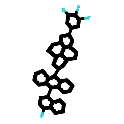 Fc1cc(-c2cc3ccc4cc(-c5c6ccccc6c(-c6ccc(F)c7ccccc67)c6ccccc56)cc5ccc(c2)c3c45)cc(F)c1F